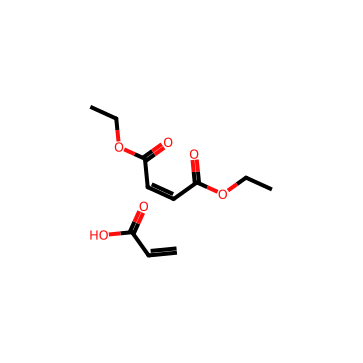 C=CC(=O)O.CCOC(=O)/C=C\C(=O)OCC